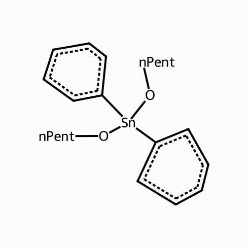 CCCCC[O][Sn]([O]CCCCC)([c]1ccccc1)[c]1ccccc1